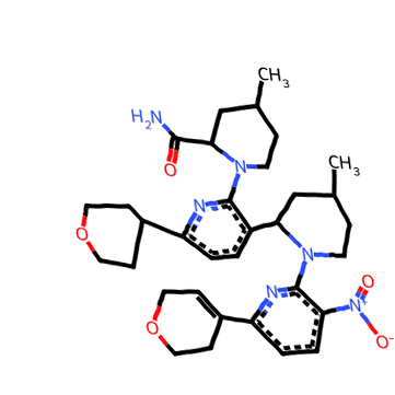 CC1CCN(c2nc(C3CCOCC3)ccc2C2CC(C)CCN2c2nc(C3=CCOCC3)ccc2[N+](=O)[O-])C(C(N)=O)C1